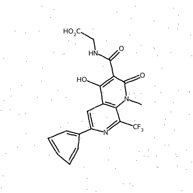 Cn1c(=O)c(C(=O)NCC(=O)O)c(O)c2cc(-c3ccccc3)nc(C(F)(F)F)c21